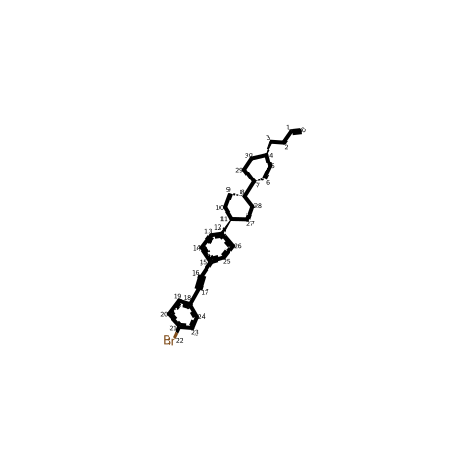 C=CCC[C@H]1CC[C@H]([C@H]2CC[C@H](c3ccc(C#Cc4ccc(Br)cc4)cc3)CC2)CC1